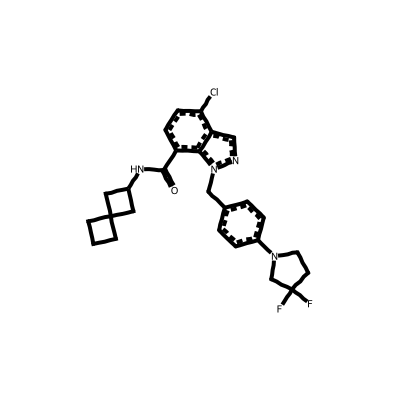 O=C(NC1CC2(CCC2)C1)c1ccc(Cl)c2cnn(Cc3ccc(N4CCC(F)(F)C4)cc3)c12